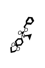 O=C(OCc1ccccc1)N(C1CC1)C1CCC2(CC1)OCCCO2